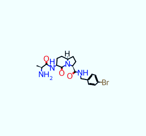 C[C@H](N)C(=O)N[C@H]1CC[C@H]2CC[C@@H](C(=O)NCc3ccc(Br)cc3)N2C1=O